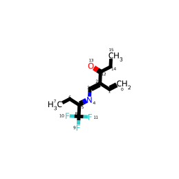 C=C/C(=C\N=C(/CC)C(F)(F)F)C(=O)CC